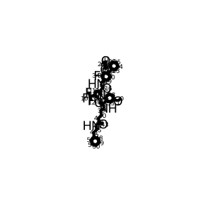 COc1ccc(-n2nc(C(F)(F)F)cc2C(=O)Nc2ccc(-c3ccccc3S(C)(=O)=O)cc2F)c(C(=O)NCCCC(=O)NCCc2ccccc2)c1